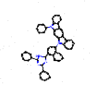 c1ccc(C2=NC(c3ccc(-n4c5ccccc5c5cc6c7ccccc7n(-c7ccccc7)c6cc54)c4ccccc34)NC(c3ccccc3)=N2)cc1